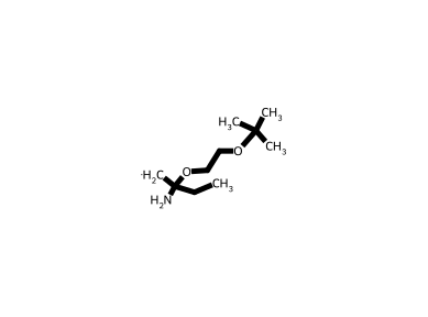 [CH2]C(N)(CC)OCCOC(C)(C)C